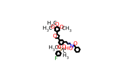 COc1cc(C2COC(c3cc(OC)c(OC)c(OC)c3)C2)cc(C/C=C/N(O)C(=O)C2CCCCC2)c1OC(C)Sc1ccc(F)cc1